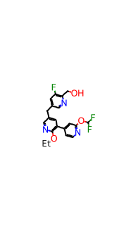 CCOc1ncc(Cc2cnc(CO)c(F)c2)cc1-c1ccnc(OC(F)F)c1